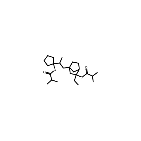 CCC1(OC(=O)C(C)C)CC2(CC(C)C3(OC(=O)C(C)C)CCCC3)CCC1C2